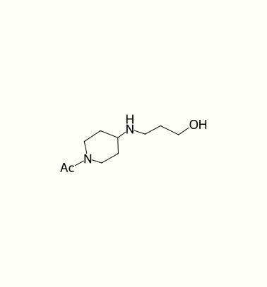 CC(=O)N1CCC(NCCCO)CC1